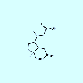 CC(CC(=O)O)C1COC2(C)C=CC(=O)CC12